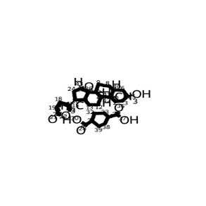 C[C@]12CC[C@H](O)C[C@H]1CC[C@@H]1[C@@H]2CC[C@]2(C)[C@@H](c3ccc(=O)oc3)C[C@H]3O[C@]132.O=C(O)C1CCC(C(=O)O)CC1